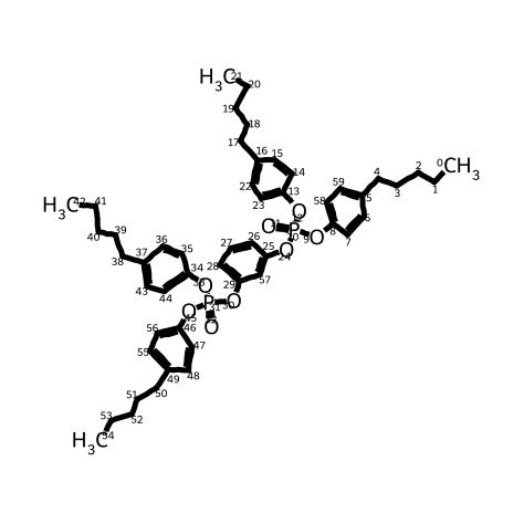 CCCCCc1ccc(OP(=O)(Oc2ccc(CCCCC)cc2)Oc2cccc(OP(=O)(Oc3ccc(CCCCC)cc3)Oc3ccc(CCCCC)cc3)c2)cc1